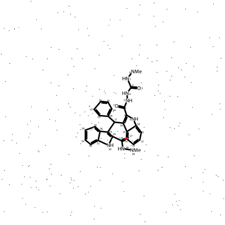 CNNC(=O)NNC(=O)c1[nH]c2ccccc2c1C(c1ccccc1)c1c(C(=O)NNC)[nH]c2ccccc12